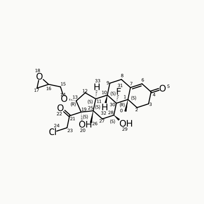 C[C@]12CCC(=O)C=C1CC[C@H]1[C@@H]3C[C@@H](OCC4CO4)[C@](O)(C(=O)CCl)[C@@]3(C)C[C@H](O)[C@@]12F